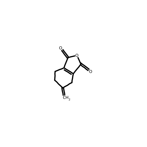 C=C1CCC2=C(C1)C(=O)OC2=O